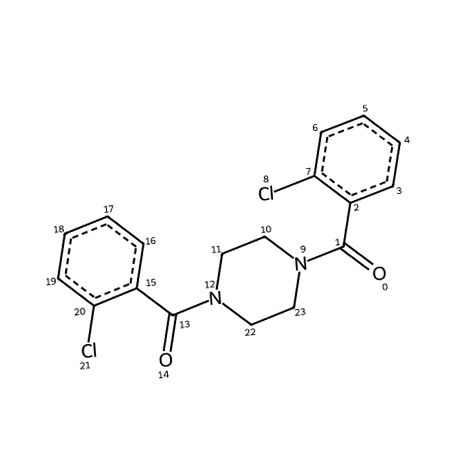 O=C(c1ccccc1Cl)N1CCN(C(=O)c2ccccc2Cl)CC1